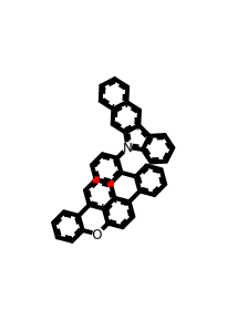 c1ccc2c(c1)Oc1ccc(-c3ccccc3-c3ccccc3-n3c4ccccc4c4cc5ccccc5cc43)c3cccc-2c13